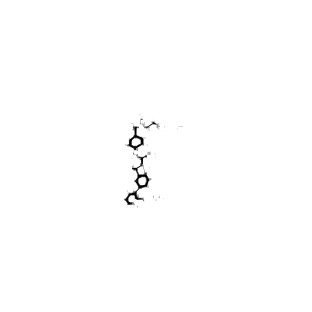 COc1ncccc1-c1ccc2c(c1)C(C)C(C(Nc1ccc(C(=O)N(C)CCC(=O)O)cc1)C(C)C)O2